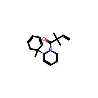 C=CC(C)(C)C(=O)N1CCC=C[C@H]1C1(C)C=CC=CC1